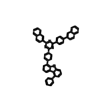 c1ccc(-c2cccc3oc4c(-c5ccc(-c6nc(-c7ccc(-c8ccc9ccccc9c8)cc7)nc(-c7ccc8ccccc8c7)n6)cc5)cccc4c23)cc1